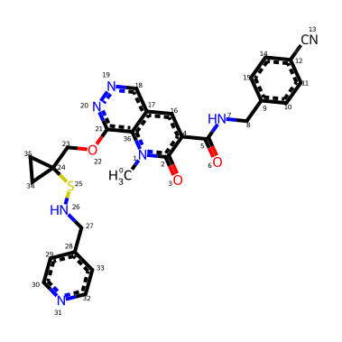 Cn1c(=O)c(C(=O)NCc2ccc(C#N)cc2)cc2cnnc(OCC3(SNCc4ccncc4)CC3)c21